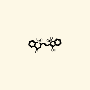 O=C1CC(/C=C/C2=C(O)c3ccccc3S2(=O)=O)S(=O)(=O)c2ccccc21